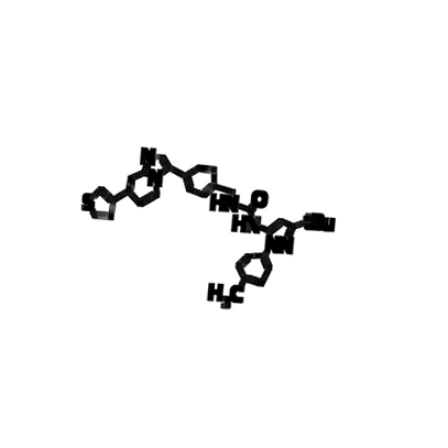 Cc1ccc(-n2nc(C(C)(C)C)cc2NC(=O)NCc2ccc(-c3cnc4cc(-c5ccsc5)ccn34)cc2)cc1